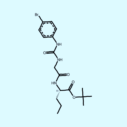 CCC[C@H](NC(=O)CNC(=O)Nc1ccc(Br)cc1)C(=O)OC(C)(C)C